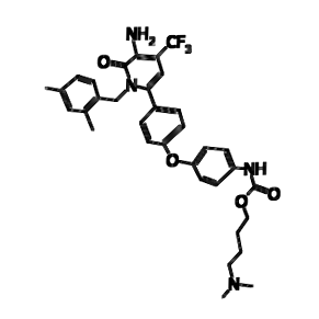 Cc1ccc(Cn2c(-c3ccc(Oc4ccc(NC(=O)OCCCCN(C)C)cc4)cc3)cc(C(F)(F)F)c(N)c2=O)c(C)c1